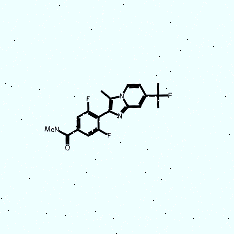 CNC(=O)c1cc(F)c(-c2nc3cc(C(C)(C)F)ccn3c2C)c(F)c1